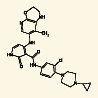 Cc1c(Nc2cc[nH]c(=O)c2C(=O)Nc2ccc(N3CCN(C4CC4)CC3)c(Cl)c2)cnc2c1NCCO2